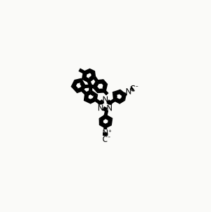 [C-]#[N+]c1ccc(-c2nc(-c3ccc([N+]#[C-])cc3)nc(-c3ccc4c(c3)C3(c5ccccc5-4)c4cc(C)ccc4-c4ccc(C)cc43)n2)cc1